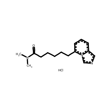 CN(C)C(=O)CCCCCc1cccc2cncn12.Cl